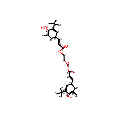 CC1=C(O)C(C(C)(C)C)=CC(C=CC(=O)OCCOOC(=O)C=CC2C=C(C(C)(C)C)C(O)=C(C)C2)C1